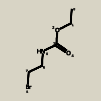 CCOC(=O)NCCBr